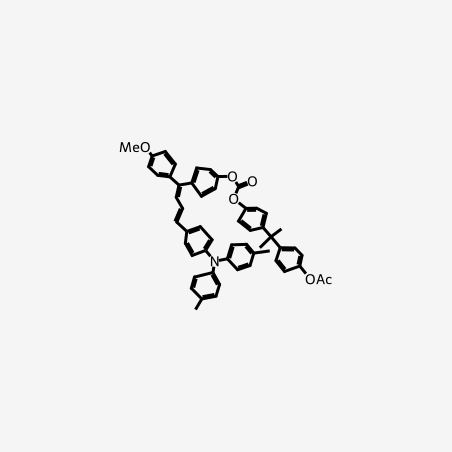 COc1ccc(C(=CC=Cc2ccc(N(c3ccc(C)cc3)c3ccc(C)cc3)cc2)c2ccc(OC(=O)Oc3ccc(C(C)(C)c4ccc(OC(C)=O)cc4)cc3)cc2)cc1